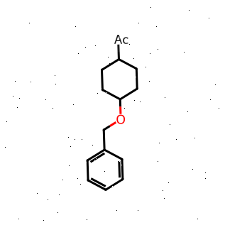 CC(=O)C1CCC(OCc2ccccc2)CC1